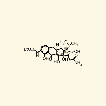 CCOC(=O)Nc1ccc2c(c1O)C(=O)C1=C(O)[C@](O)(C(=O)CC(N)=O)[C@H]([C@@H](CO)N(C)C)C[C@@H]1C2